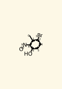 Cc1c(Br)ccc(O)c1N=O